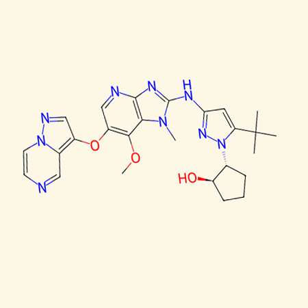 COc1c(Oc2cnn3ccncc23)cnc2nc(Nc3cc(C(C)(C)C)n([C@@H]4CCC[C@H]4O)n3)n(C)c12